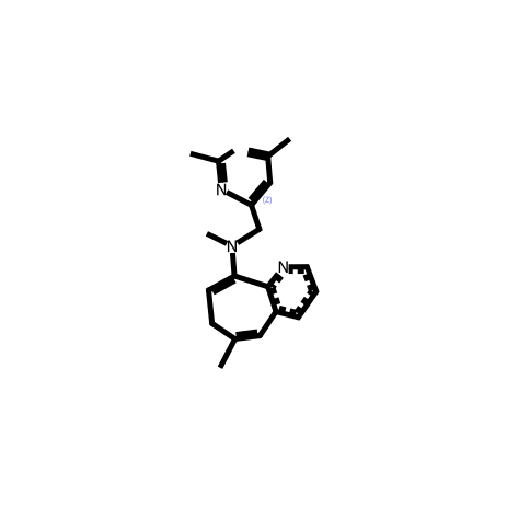 C=C(C)/C=C(/CN(C)C1=CCC(C)=Cc2cccnc21)N=C(C)C